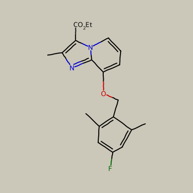 CCOC(=O)c1c(C)nc2c(OCc3c(C)cc(F)cc3C)cccn12